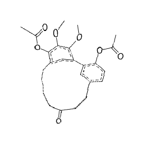 COc1c2cc(c(OC(C)=O)c1OC)CCCCC(=O)CCc1ccc(OC(C)=O)c-2c1